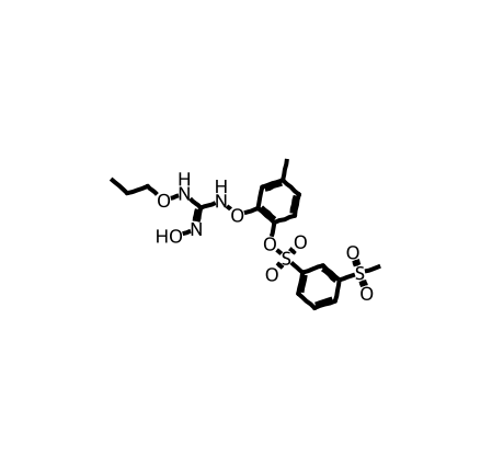 CCCONC(=NO)NOc1cc(C)ccc1OS(=O)(=O)c1cccc(S(C)(=O)=O)c1